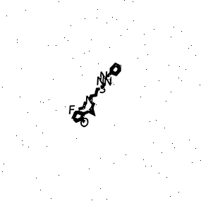 CCCN(CCCSc1nnc(-c2ccccc2)n1C)CC1CC1c1cc(F)ccc1OC